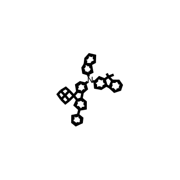 CC1(C)c2ccccc2-c2ccc(N(c3ccc4c(c3)-c3ccc(-c5ccccc5)cc3C43C4CC5CC6CC3C564)c3ccc4ccccc4c3)cc21